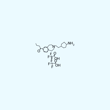 CCCC(=O)c1ccc2c(c1)CCN(CCC1CCC(N)CC1)CC2.O=C(O)C(F)(F)F.O=C(O)C(F)(F)F